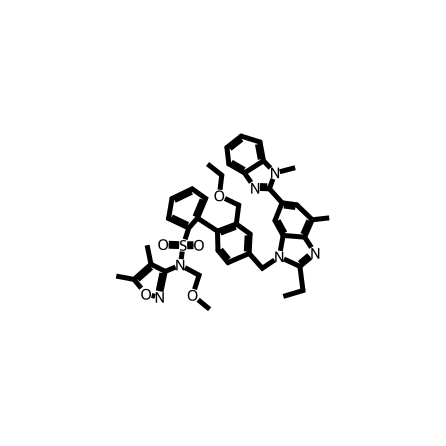 CCOCc1cc(Cn2c(CC)nc3c(C)cc(-c4nc5ccccc5n4C)cc32)ccc1-c1ccccc1S(=O)(=O)N(COC)c1noc(C)c1C